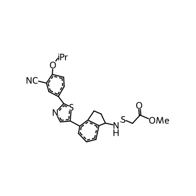 COC(=O)CSNC1CCc2c(-c3cnc(-c4ccc(OC(C)C)c(C#N)c4)s3)cccc21